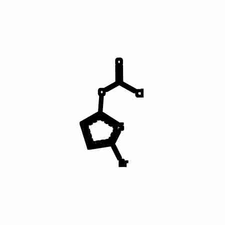 O=C(Cl)Oc1ccc(Br)s1